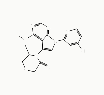 COc1ncnc2c1c(N1C(=O)COCC1C)cn2-c1cc(Cl)ccn1